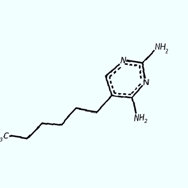 CCCCCCc1cnc(N)nc1N